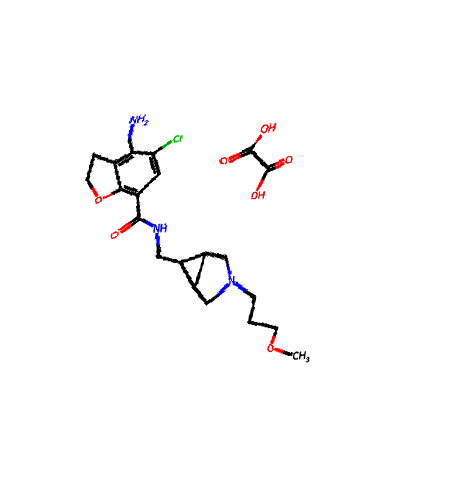 COCCCN1CC2C(CNC(=O)c3cc(Cl)c(N)c4c3OCC4)C2C1.O=C(O)C(=O)O